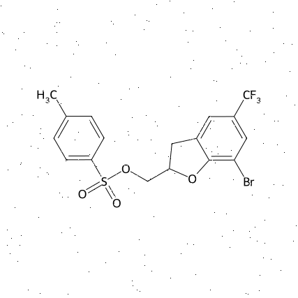 Cc1ccc(S(=O)(=O)OCC2Cc3cc(C(F)(F)F)cc(Br)c3O2)cc1